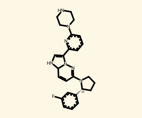 Fc1cccc([C@H]2CCCN2C2=NN3C(c4cccc(N5CCNCC5)n4)=CNC3C=C2)c1